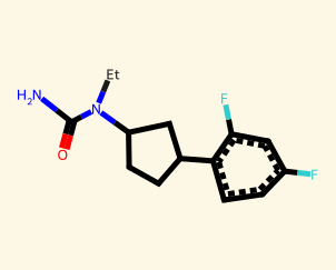 CCN(C(N)=O)C1CCC(c2ccc(F)cc2F)C1